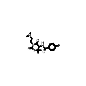 CN(C)CCN1C(=O)C(NC(=O)c2ccc(F)cc2)C(C)(C)SC1=S